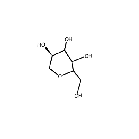 OCC1OC[C@@H](O)C(O)C1O